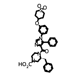 O=C(O)N1CCN(C(=O)c2ncn(-c3cccc(OC4CCS(=O)(=O)CC4)c3)c2-c2ccccc2)[C@H](Cc2ccccc2)C1